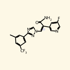 Cc1cc(-c2ncn(/C=C(\C(N)=O)c3cncc(F)c3)n2)cc(C(F)(F)F)c1